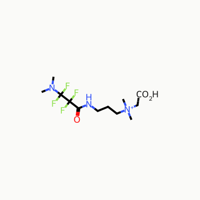 CN(C)C(F)(F)C(F)(F)C(=O)NCCC[N+](C)(C)CC(=O)O